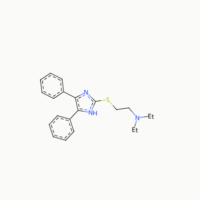 CCN(CC)CCSc1nc(-c2ccccc2)c(-c2ccccc2)[nH]1